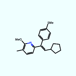 COc1nc(/C(=C/C2CCCC2)c2ccc(SC)cc2)ccc1C